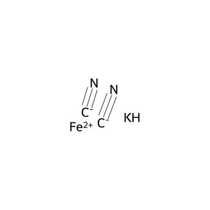 [C-]#N.[C-]#N.[Fe+2].[KH]